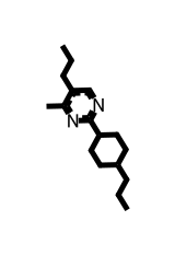 CCCc1cnc(C2CCC(CCC)CC2)nc1C